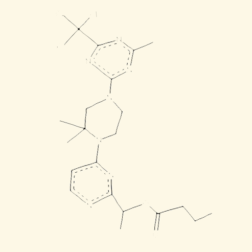 CCCC(=O)OC(C)c1nccc(N2CCN(c3nc(C)nc(C(Cl)(Cl)Cl)n3)CC2(C)C)n1